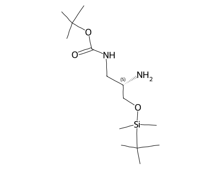 CC(C)(C)OC(=O)NC[C@H](N)CO[Si](C)(C)C(C)(C)C